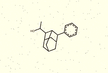 CC(O)C1C2CC3CC(C2)C(c2ccccc2)C1C3